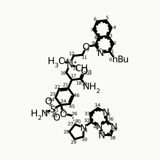 CCCCc1cc2ccccc2c(OCC[N+](C)(C)CC(C(N)=O)C2=CCC(OC[C@H]3CCCN3c3ccnc4ncnn34)(S(N)(=O)=O)C=C2)n1